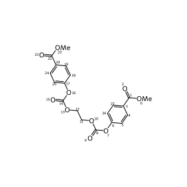 COC(=O)c1ccc(OC(=O)OCCOC(=O)Oc2ccc(C(=O)OC)cc2)cc1